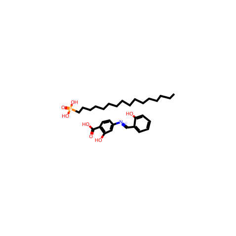 CCCCCCCCCCCCCCCCP(=O)(O)O.O=C(O)c1ccc(/N=C/c2ccccc2O)cc1O